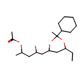 CCC1CC(CC(O)CC(C)OC(C)=O)OC(C)(C2CCCCC2)O1